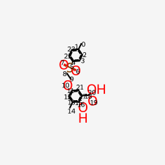 Cc1ccc(S(=O)(=O)CCOc2cc(C)c(O)c(C(=O)O)c2)cc1